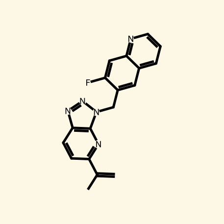 C=C(C)c1ccc2nnn(Cc3cc4cccnc4cc3F)c2n1